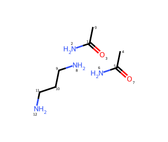 CC(N)=O.CC(N)=O.NCCCN